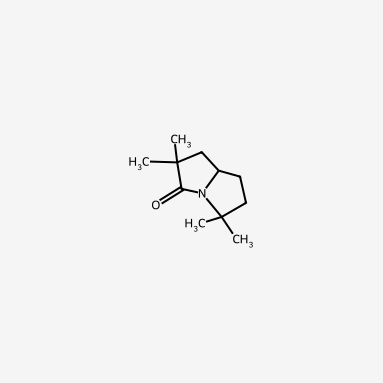 CC1(C)CC2CCC(C)(C)N2C1=O